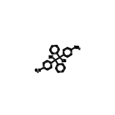 N#CC(c1ccccc1)(c1ccc([N+](=O)[O-])cc1)C(C#N)(c1ccccc1)c1ccc([N+](=O)[O-])cc1